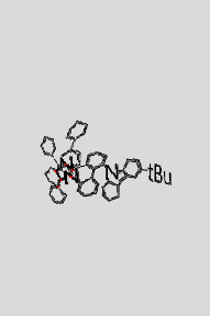 CC(C)(C)c1ccc2c(c1)c1ccccc1n2-c1cccc(-c2nc(-c3ccccc3)cc(-c3ccccc3)n2)c1-c1ccccc1-n1c2ccccc2c2cc(-c3ccccc3)ccc21